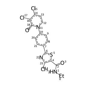 CCNC(=O)c1sc(-c2ccc(-n3ccc(Cl)c(Cl)c3=O)cc2)nc1C